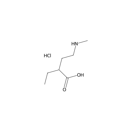 CCC(CCNC)C(=O)O.Cl